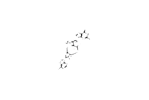 Nc1nc2c(ncn2[C@@H]2SC3OCC[C@H]4[C@H](F)[C@H](n5nnc6c(N)ncnc65)O[C@@H]4COP(=O)(S)O[C@@H]2[C@@H]3F)c(=O)[nH]1